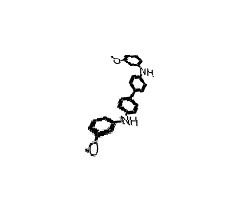 COc1cccc(Nc2ccc(-c3ccc(Nc4cccc(OC)c4)cc3)cc2)c1